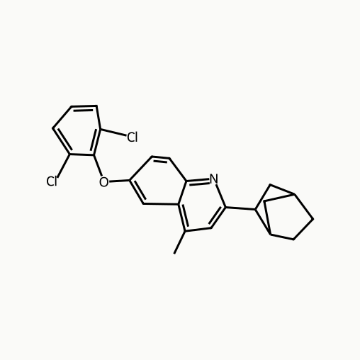 Cc1cc(C2CC3CCC2C3)nc2ccc(Oc3c(Cl)cccc3Cl)cc12